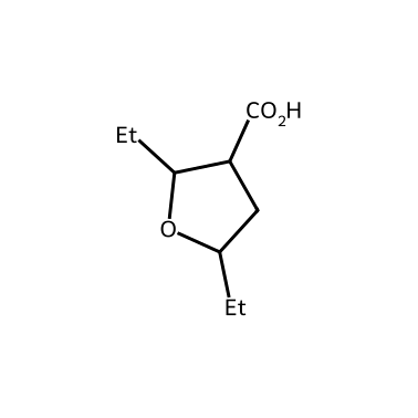 CCC1CC(C(=O)O)C(CC)O1